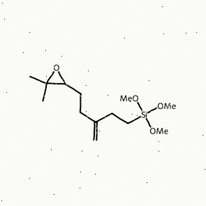 C=C(CCC1OC1(C)C)CC[Si](OC)(OC)OC